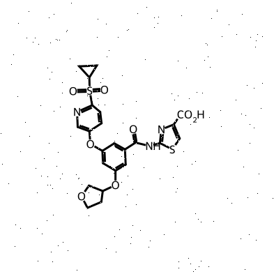 O=C(Nc1nc(C(=O)O)cs1)c1cc(Oc2ccc(S(=O)(=O)C3CC3)nc2)cc(OC2CCOC2)c1